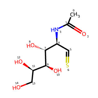 CC(=O)N[C@@H](C=S)[C@@H](O)[C@@H](O)[C@H](O)CO